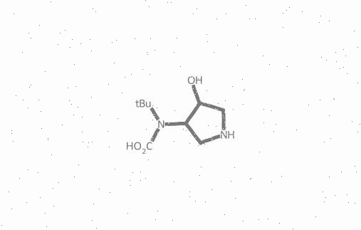 CC(C)(C)N(C(=O)O)C1CNCC1O